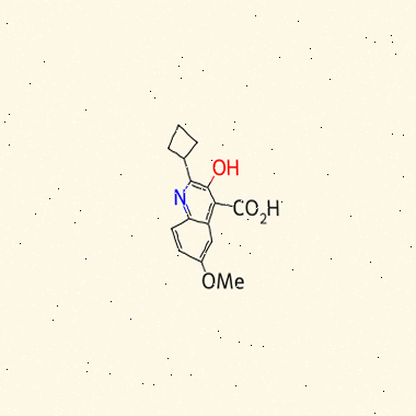 COc1ccc2nc(C3CCC3)c(O)c(C(=O)O)c2c1